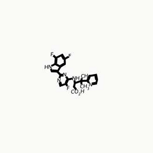 CC(C)(c1ccccn1)C(CC(=O)O)Nc1nc(-c2c[nH]c3c(F)cc(F)cc23)ncc1F